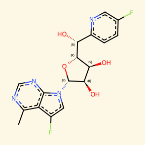 Cc1ncnc2c1c(F)cn2[C@@H]1O[C@H]([C@H](O)c2ccc(F)cn2)[C@@H](O)[C@H]1O